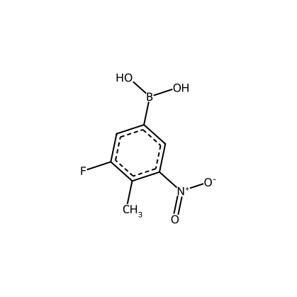 Cc1c(F)cc(B(O)O)cc1[N+](=O)[O-]